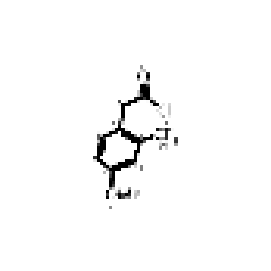 COc1ccc(CC(=O)Cl)c(C(F)(F)F)c1